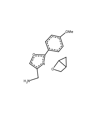 C1OC2CC12.COc1ccc(-c2nc(CN)co2)cc1